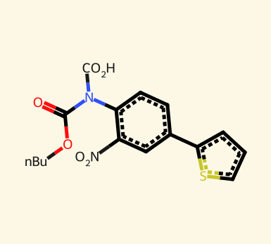 CCCCOC(=O)N(C(=O)O)c1ccc(-c2cccs2)cc1[N+](=O)[O-]